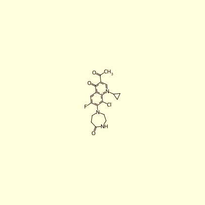 CC(=O)c1cn(C2CC2)c2c(Cl)c(N3CCNC(=O)CC3)c(F)cc2c1=O